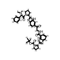 CN(C)[C@@H](C(=O)N1CCC[C@H]1c1nc2ccc(C(=O)CNC(=O)c3cccc4nc([C@@H]5CCCN5C(=O)OC(C)(C)C)[nH]c34)cc2[nH]1)c1ccccc1